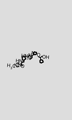 CN1CCN(C(=O)c2cc3cc(Nc4nccc(-c5cc(OCC(CO)c6ccccc6)ccn5)n4)ccc3[nH]2)CC1